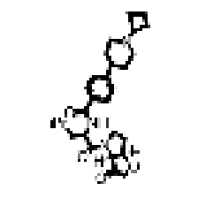 CC(C)CC(NC(=O)c1ccc(C2CCN(C3CCC3)CC2)cc1)C(=O)N1CC[C@H]2OCC(=O)[C@H]21